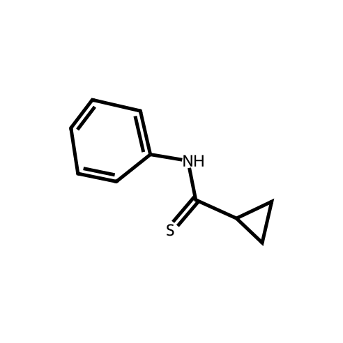 S=C(Nc1ccccc1)C1CC1